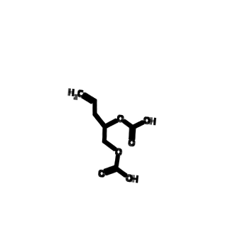 C=CCC(COC(=O)O)OC(=O)O